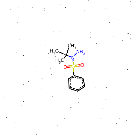 CC(C)(C)N(N)S(=O)(=O)c1ccccc1